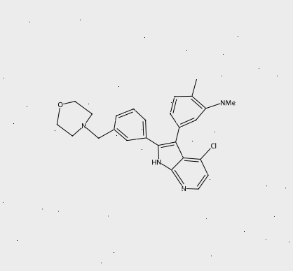 CNc1cc(-c2c(-c3cccc(CN4CCOCC4)c3)[nH]c3nccc(Cl)c23)ccc1C